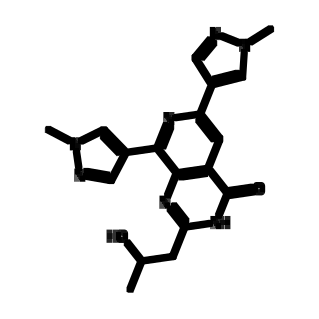 CC(O)Cc1nc2c(-c3cnn(C)c3)nc(-c3cnn(C)c3)cc2c(=O)[nH]1